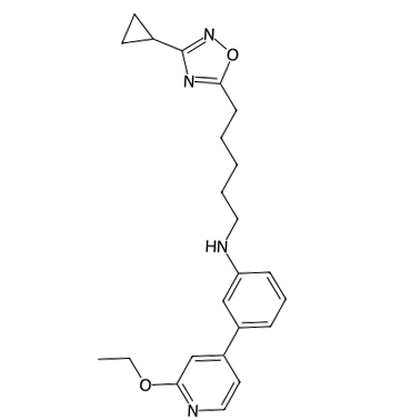 CCOc1cc(-c2cccc(NCCCCCc3nc(C4CC4)no3)c2)ccn1